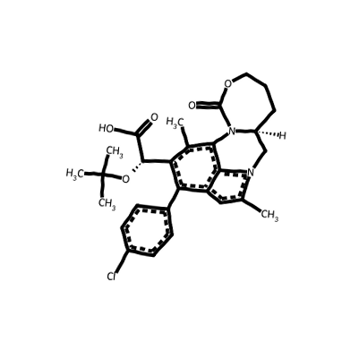 Cc1c([C@H](OC(C)(C)C)C(=O)O)c(-c2ccc(Cl)cc2)c2cc(C)n3c2c1N1C(=O)OCCC[C@H]1C3